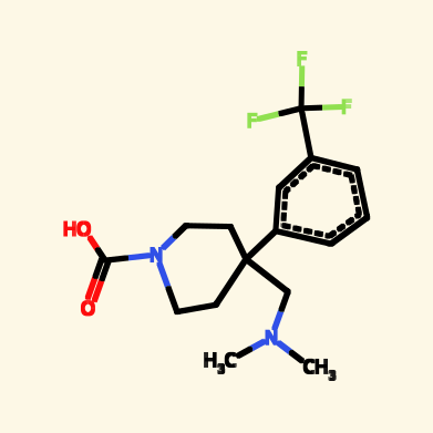 CN(C)CC1(c2cccc(C(F)(F)F)c2)CCN(C(=O)O)CC1